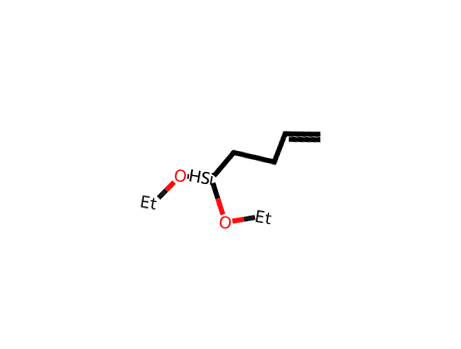 C=CCC[SiH](OCC)OCC